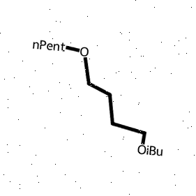 CCCCCOCCCCOCC(C)C